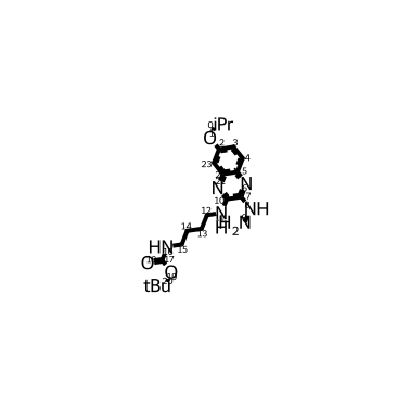 CC(C)Oc1ccc2nc(NN)c(NCCCCNC(=O)OC(C)(C)C)nc2c1